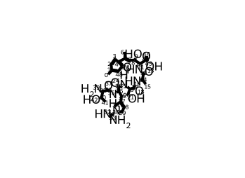 Cc1ccc2c(C)c(C(O)C(NC(=O)C(C)NC(=O)C(CO)NC(=O)C(CC3=CCN(C(=N)N)C3)NC(=O)C(N)C(C)O)C(=O)O)oc2c1